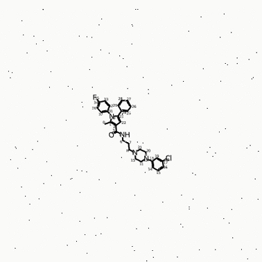 Cc1c(C(=O)NCCCN2CCN(c3cccc(Cl)c3)CC2)cc(-c2ccccc2)n1-c1ccc(F)cc1